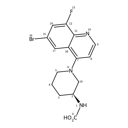 O=C(O)N[C@H]1CCCN(c2ccnc3c(F)cc(Br)cc23)C1